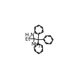 CCC(N)(N)C(c1ccccc1)(c1ccccc1)c1ccccc1